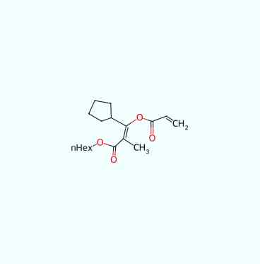 C=CC(=O)OC(=C(C)C(=O)OCCCCCC)C1CCCC1